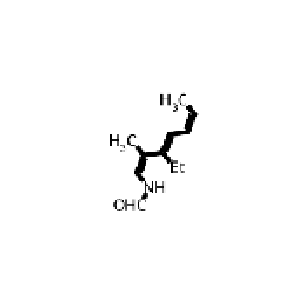 C\C=C/C=C(CC)/C(C)=C\NC=O